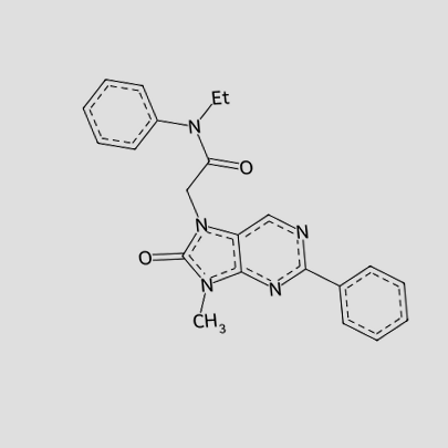 CCN(C(=O)Cn1c(=O)n(C)c2nc(-c3ccccc3)ncc21)c1ccccc1